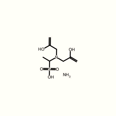 C=C(O)CN(CC(=C)O)C(C)S(=O)(=O)O.N